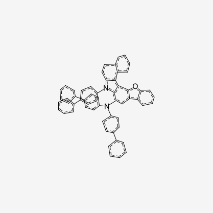 c1ccc(-c2ccc(N(c3ccc(-c4ccccc4)cc3)c3cc4c5ccccc5oc4c4c5c6ccccc6ccc5n(-c5ccc(-c6ccccc6)cc5)c34)cc2)cc1